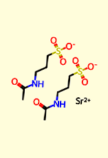 CC(=O)NCCCS(=O)(=O)[O-].CC(=O)NCCCS(=O)(=O)[O-].[Sr+2]